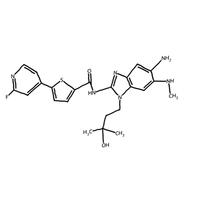 CNc1cc2c(cc1N)nc(NC(=O)c1ccc(-c3ccnc(F)c3)s1)n2CCC(C)(C)O